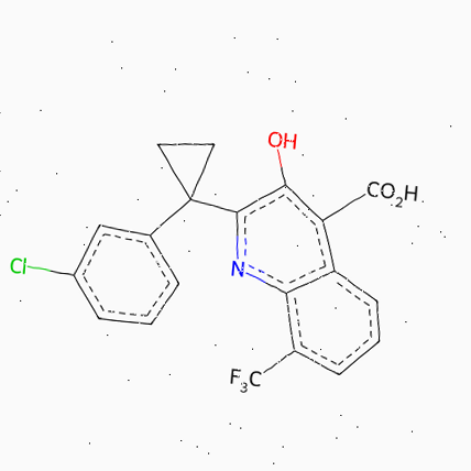 O=C(O)c1c(O)c(C2(c3cccc(Cl)c3)CC2)nc2c(C(F)(F)F)cccc12